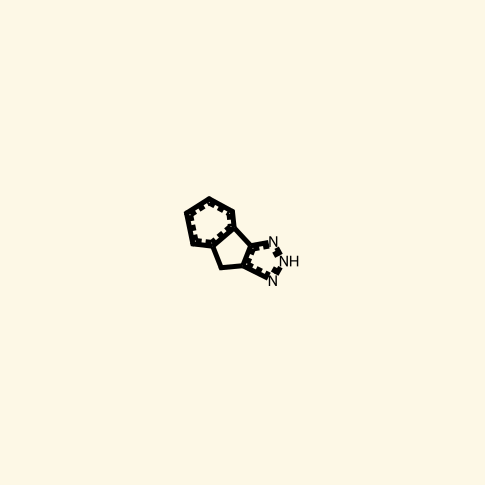 c1ccc2c(c1)Cc1n[nH]nc1-2